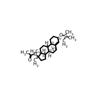 CC(=O)O[C@@]1(C)CC[C@H]2[C@@H]3CCC4=C[C@@H](O[Si](C)(C)C)CC[C@]4(C=O)[C@H]3CC[C@@]21C